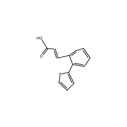 O=C(O)/C=C/c1ccccc1-c1ccco1